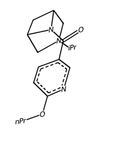 CCCOc1ccc(C(=O)N2C3CC2CN(C(C)C)C3)cn1